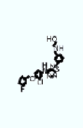 OCCNCc1cccc(-c2nc3c(Nc4ccc(OCc5cccc(F)c5)c(Cl)c4)ncnc3s2)c1